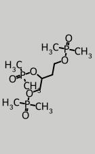 CP(C)(=O)OCCC(COP(C)(C)=O)OP(C)(C)=O